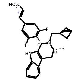 C[C@@H]1Cc2c([nH]c3ccccc23)[C@H](c2c(F)cc(/C=C/C(=O)O)cc2F)N1CC12CC(C1)C2